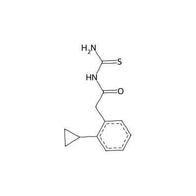 NC(=S)NC(=O)Cc1ccccc1C1CC1